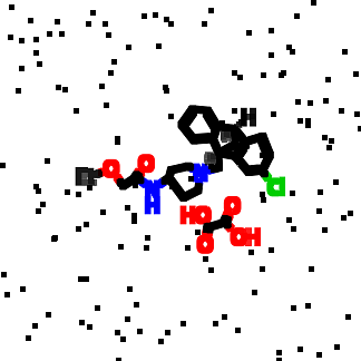 CCOCC(=O)NC1CCN(C[C@]23C[C@@H](c4ccccc42)c2ccc(Cl)cc23)CC1.O=C(O)C(=O)O